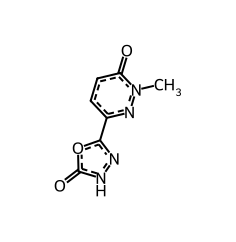 Cn1nc(-c2n[nH]c(=O)o2)ccc1=O